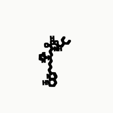 CCC(CC)CC(=O)NC(CCN(CCCCc1ccc2c(n1)NCCC2)c1nccs1)C(=O)O